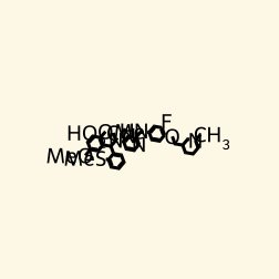 COc1ccc(OC)c(C(c2ccccc2SC)N(C(=O)O)c2ccnc(Nc3ccc(OCC4CCCN(C)C4)c(F)c3)n2)c1